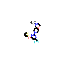 CN1CCOC2(CCN(c3nc(Oc4cccs4)cc(C(F)(F)F)n3)CC2)C1